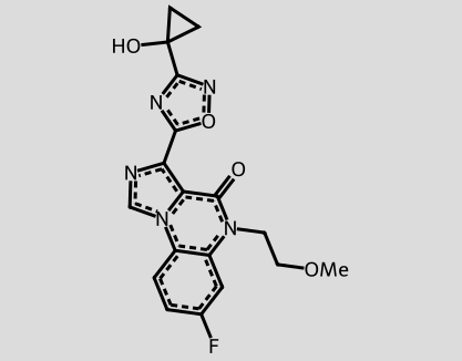 COCCn1c(=O)c2c(-c3nc(C4(O)CC4)no3)ncn2c2ccc(F)cc21